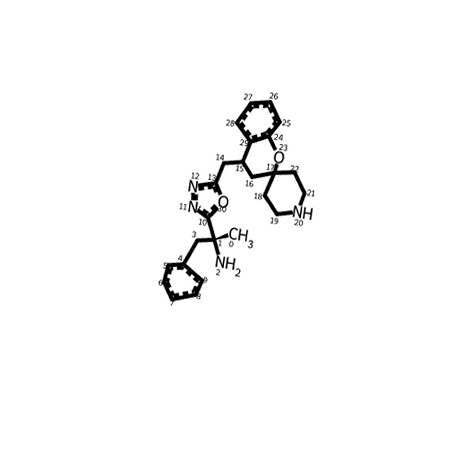 C[C@@](N)(Cc1ccccc1)c1nnc(CC2CC3(CCNCC3)Oc3ccccc32)o1